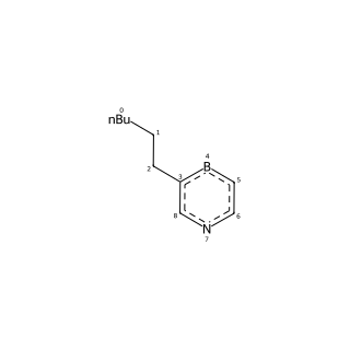 CCCCCCc1bccnc1